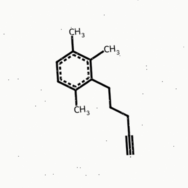 [C]#CCCCc1c(C)ccc(C)c1C